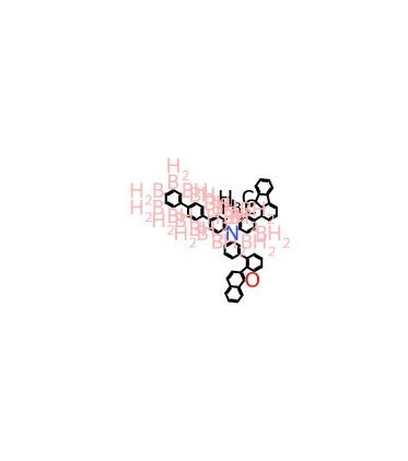 Bc1c(B)c(B)c(-c2c(B)c(B)c(-c3c(B)c(B)c(N(c4cccc(-c5cccc6oc7c8ccccc8ccc7c56)c4)c4c(B)c(B)c(-c5cccc6c5C(C)(C)c5ccccc5-6)c(B)c4B)c(B)c3B)c(B)c2B)c(B)c1B